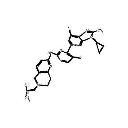 Cc1nc2c(F)cc(-c3nc(Nc4ccc5c(n4)CCN(C[C@@H](C)N)C5)ncc3F)cc2n1C1CC1